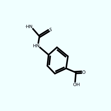 [NH]C(=S)Nc1ccc(C(=O)O)cc1